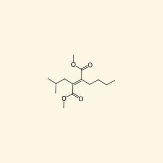 CCCCC(C(=O)OC)=C(CC(C)C)C(=O)OC